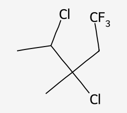 CC(Cl)C(C)(Cl)CC(F)(F)F